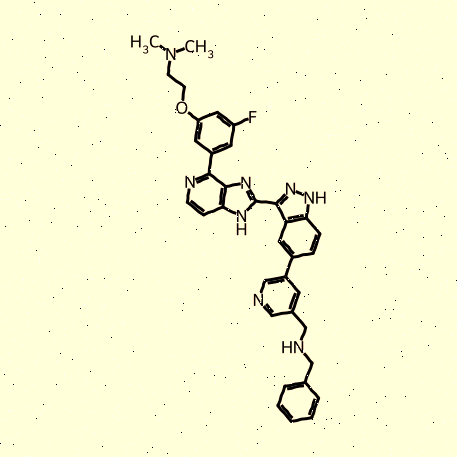 CN(C)CCOc1cc(F)cc(-c2nccc3[nH]c(-c4n[nH]c5ccc(-c6cncc(CNCc7ccccc7)c6)cc45)nc23)c1